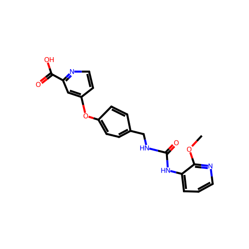 COc1ncccc1NC(=O)NCc1ccc(Oc2ccnc(C(=O)O)c2)cc1